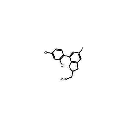 CNCC1Cc2cc(F)cc(-c3ccc(Cl)cc3Cl)c2O1